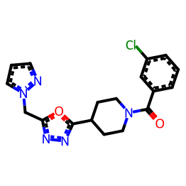 O=C(c1cccc(Cl)c1)N1CCC(c2nnc(Cn3cccn3)o2)CC1